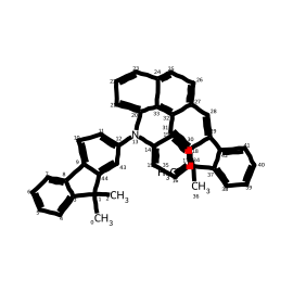 CC1(C)c2ccccc2-c2ccc(N(c3ccccc3)c3cccc4ccc5cc6c(cc5c34)C(C)(C)c3ccccc3-6)cc21